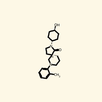 Cc1c[c]ccc1N1CCC[C@@]2(CCN([C@H]3CC[C@H](O)CC3)C2=O)C1